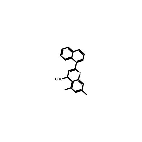 Cc1cc(C)c2c(c1)OC(c1cccc3ccccc13)=CC2C=O